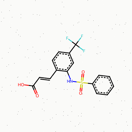 O=C(O)/C=C/c1ccc(C(F)(F)F)cc1NS(=O)(=O)c1ccccc1